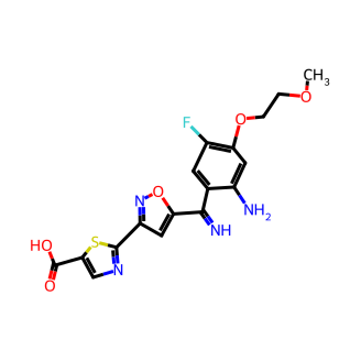 COCCOc1cc(N)c(C(=N)c2cc(-c3ncc(C(=O)O)s3)no2)cc1F